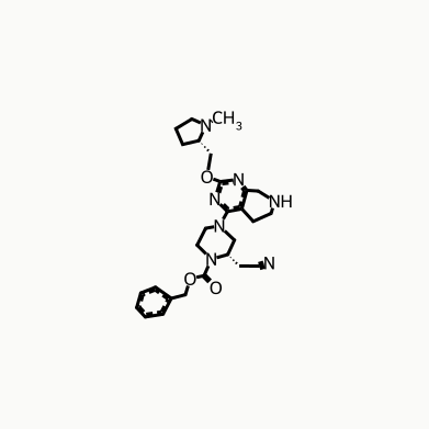 CN1CCC[C@H]1COc1nc2c(c(N3CCN(C(=O)OCc4ccccc4)[C@@H](CC#N)C3)n1)CCNC2